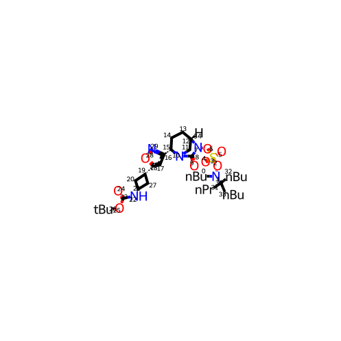 CCCCN(OS(=O)(=O)ON1C(=O)N2C[C@@H]1CC[C@H]2c1cc([C@H]2C[C@@H](NC(=O)OC(C)(C)C)C2)on1)C(CCC)(CCCC)CCCC